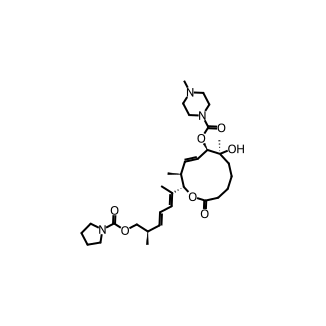 C/C(=C\C=C\[C@@H](C)COC(=O)N1CCCC1)[C@H]1OC(=O)CCCC[C@](C)(O)[C@H](OC(=O)N2CCN(C)CC2)/C=C/[C@@H]1C